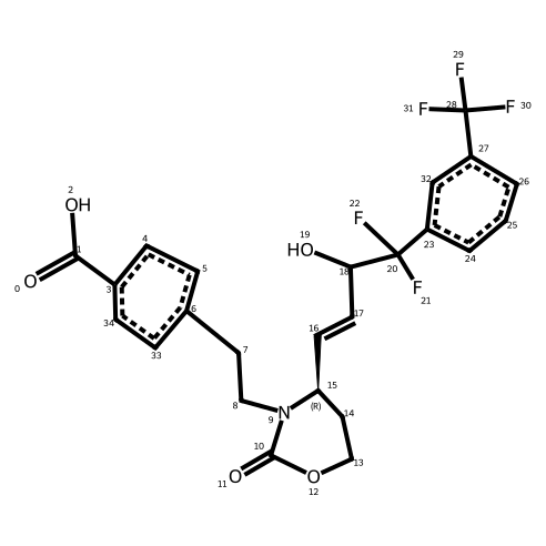 O=C(O)c1ccc(CCN2C(=O)OCC[C@@H]2C=CC(O)C(F)(F)c2cccc(C(F)(F)F)c2)cc1